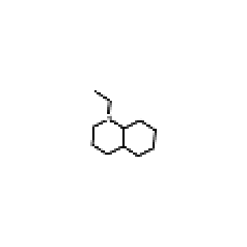 [CH2]CN1CCCC2CCCCC21